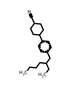 CCCCC(CC)Cc1ccc(C2CCC(C#N)CC2)cc1